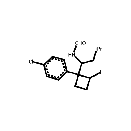 CC(C)CC(NC=O)C1(c2ccc(Cl)cc2)CCC1I